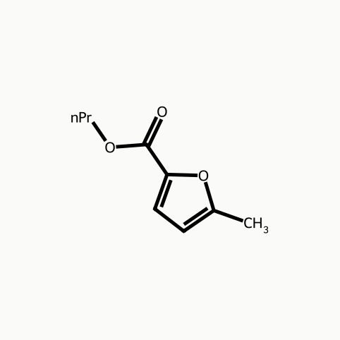 CCCOC(=O)c1ccc(C)o1